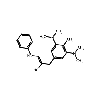 Cc1c(N(C)C)cc(CC(C#N)=CNc2ccccc2)cc1N(C)C